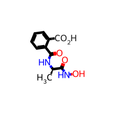 C[C@@H](NC(=O)c1ccccc1C(=O)O)C(=O)NO